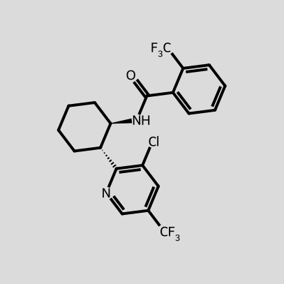 O=C(N[C@@H]1CCCC[C@H]1c1ncc(C(F)(F)F)cc1Cl)c1ccccc1C(F)(F)F